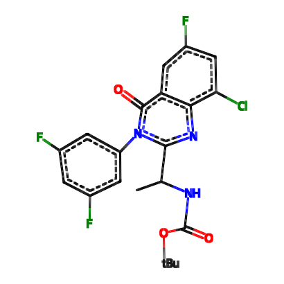 CC(NC(=O)OC(C)(C)C)c1nc2c(Cl)cc(F)cc2c(=O)n1-c1cc(F)cc(F)c1